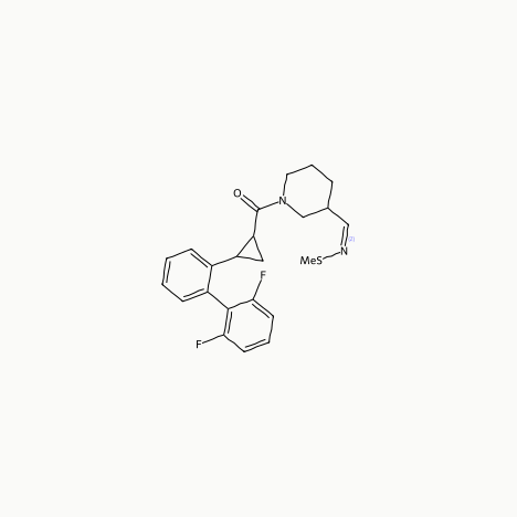 CS/N=C\C1CCCN(C(=O)C2CC2c2ccccc2-c2c(F)cccc2F)C1